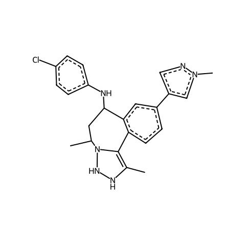 CC1=C2c3ccc(-c4cnn(C)c4)cc3C(Nc3ccc(Cl)cc3)CC(C)N2NN1